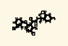 Cc1ccc(C(F)(F)CNC(=O)c2c(Oc3cccc(Br)c3F)nnc(Cl)c2C)c(Cl)c1